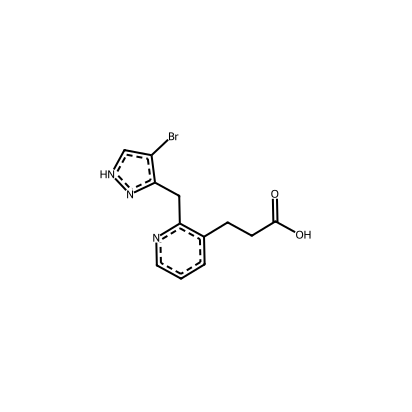 O=C(O)CCc1cccnc1Cc1n[nH]cc1Br